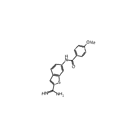 COc1ccc(C(=O)Nc2ccc3cc(C(=N)N)sc3c2)cc1